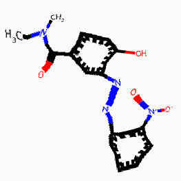 CN(C)C(=O)c1ccc(O)c(N=Nc2ccccc2[N+](=O)[O-])c1